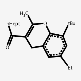 CCCCCCCC(=O)C1=C(C)Oc2c(cc(CC)cc2C(C)(C)C)C1